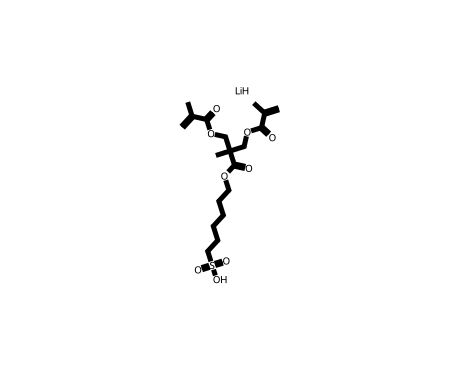 C=C(C)C(=O)OCC(C)(COC(=O)C(=C)C)C(=O)OCCCCCCS(=O)(=O)O.[LiH]